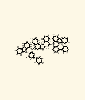 C1=C(N(c2cccc(-c3ccccc3)c2)c2cccc3c2oc2ccccc23)c2ccccc2C2c3c(cc(N(c4cccc(-c5ccccc5)c4)c4cccc5c4oc4ccccc45)c4ccccc34)SC12